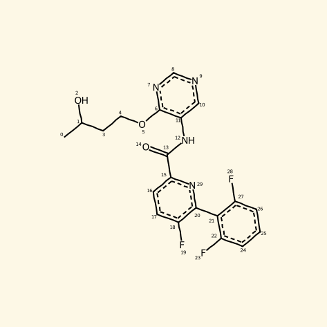 CC(O)CCOc1ncncc1NC(=O)c1ccc(F)c(-c2c(F)cccc2F)n1